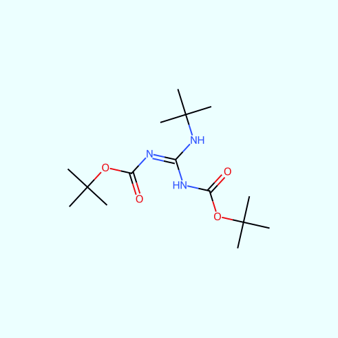 CC(C)(C)NC(=NC(=O)OC(C)(C)C)NC(=O)OC(C)(C)C